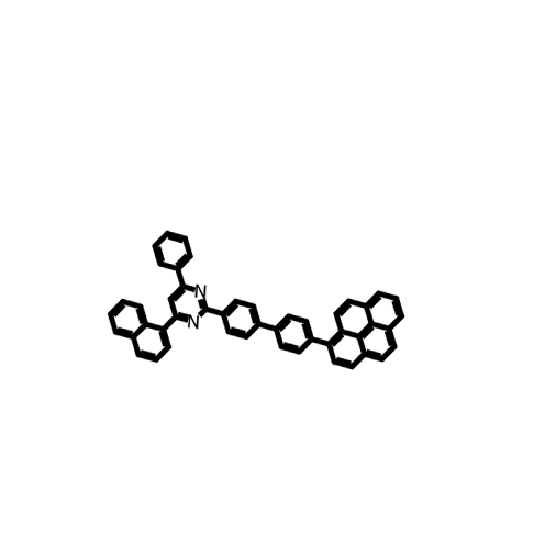 c1ccc(-c2cc(-c3cccc4ccccc34)nc(-c3ccc(-c4ccc(-c5ccc6ccc7cccc8ccc5c6c78)cc4)cc3)n2)cc1